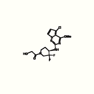 COc1nc(N[C@@H]2CCN(C(=O)CO)CC2(F)F)nn2ccc(Cl)c12